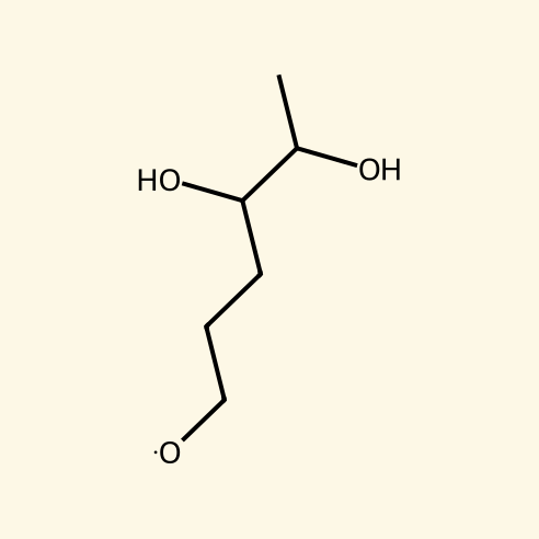 CC(O)C(O)CCC[O]